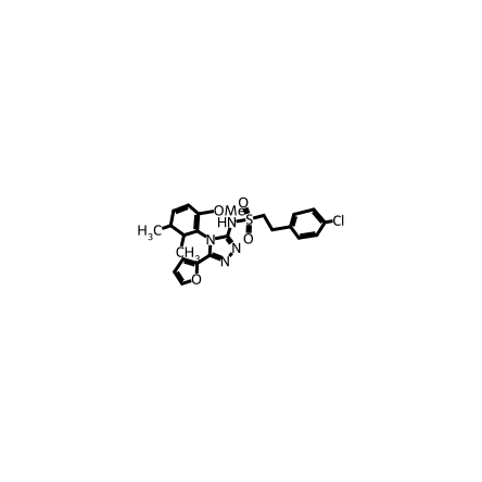 COC1=C(n2c(NS(=O)(=O)CCc3ccc(Cl)cc3)nnc2-c2ccco2)C(C)C(C)C=C1